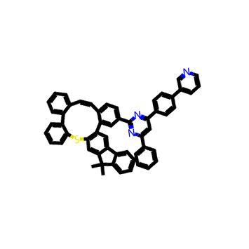 CC1(C)c2ccccc2-c2cc3c(cc21)Sc1ccccc1-c1ccccc1/C=C\c1ccc(-c2nc(-c4ccccc4)cc(-c4ccc(-c5cccnc5)cc4)n2)cc1-3